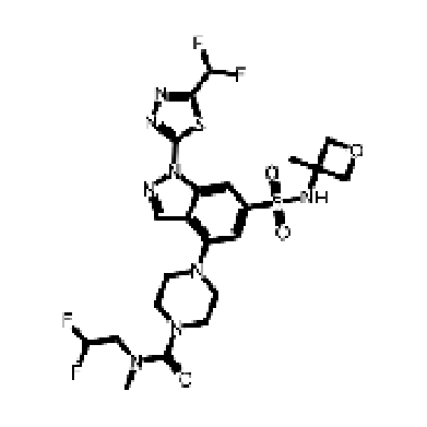 CN(CC(F)F)C(=O)N1CCN(c2cc(S(=O)(=O)NC3(C)COC3)cc3c2cnn3-c2nnc(C(F)F)s2)CC1